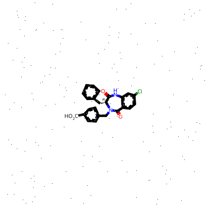 O=C(O)c1ccc(CN2C(=O)c3ccc(Cl)cc3NC(=O)[C@H]2Cc2ccccc2)cc1